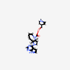 CN1CCC(COC(=O)N2CCC[C@@H]3[C@H]2CCN3c2ncnc3[nH]ccc23)CC1